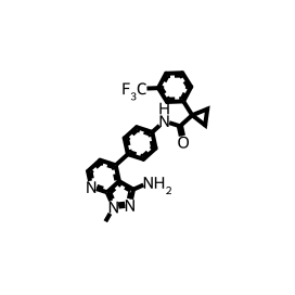 Cn1nc(N)c2c(-c3ccc(NC(=O)C4(c5cccc(C(F)(F)F)c5)CC4)cc3)ccnc21